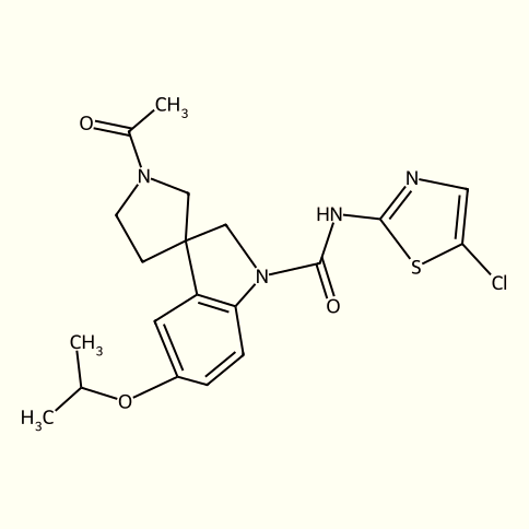 CC(=O)N1CCC2(C1)CN(C(=O)Nc1ncc(Cl)s1)c1ccc(OC(C)C)cc12